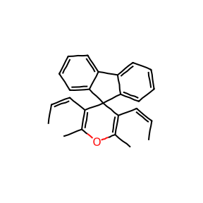 C/C=C\C1=C(C)OC(C)=C(/C=C\C)C12c1ccccc1-c1ccccc12